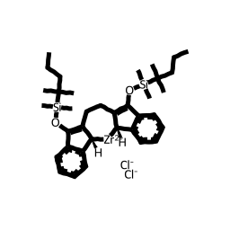 CCCC(C)(C)[Si](C)(C)OC1=C2CCC3=C(O[Si](C)(C)C(C)(C)CCC)c4ccccc4[C@H]3[Zr+2][C@H]2c2ccccc21.[Cl-].[Cl-]